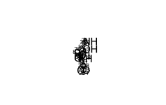 Cl.O=C(O)[C@@H](Cc1cccc(S(=O)(=O)NCc2ccc3c(c2)OCCO3)c1)[C@H]1CCNC1